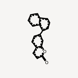 O=c1ccc2ccc(-c3cccc4ccccc34)cc2o1